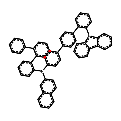 c1ccc(-c2ccccc2-c2ccccc2N(c2ccc(-c3ccc(-c4ccccc4-n4c5ccccc5c5ccccc54)cc3)cc2)c2ccc3ccccc3c2)cc1